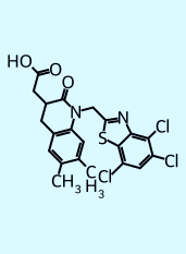 Cc1cc2c(cc1C)N(Cc1nc3c(Cl)c(Cl)cc(Cl)c3s1)C(=O)C(CC(=O)O)C2